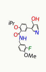 COc1ccc(CNC(=O)c2cc(-c3cnccc3CO)ccc2OC(C)C)cc1F